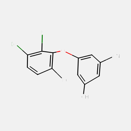 CCc1ccc(Br)c(F)c1Oc1cc(C)cc(C#N)c1